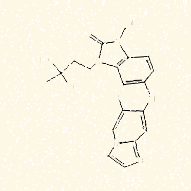 Cn1c(=O)n(CCC(C)(C)O)c2cc(Nc3cc4nccn4cc3Cl)ccc21